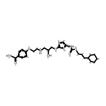 NC(=O)c1ccc(OCCNCC(O)COc2ncc(NC(=O)OCCCC3CCCCC3)s2)cc1